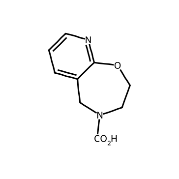 O=C(O)N1CCOc2ncccc2C1